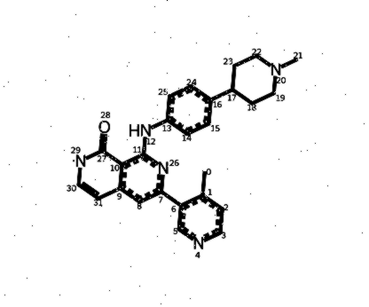 Cc1ccncc1-c1cc2c(c(Nc3ccc(C4CCN(C)CC4)cc3)n1)C(=O)[N]C=C2